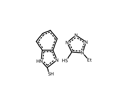 CCn1nnnc1S.Sc1nc2ccccc2[nH]1